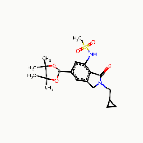 CC1(C)OB(c2cc3c(c(NS(C)(=O)=O)c2)C(=O)N(CC2CC2)C3)OC1(C)C